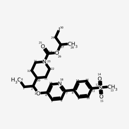 CCC(Oc1ccc(-c2ccc(S(C)(=O)=O)cc2)nc1)C1CCN(C(=O)OC(C)CI)CC1